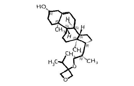 CC(C)C1(OC[C@@H](C)[C@H]2CC[C@H]3[C@@H]4CC=C5C[C@@H](O)CC[C@]5(C)[C@H]4CC[C@]23C)COC1